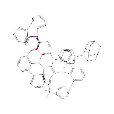 CC1(C)c2ccc(cc2)-c2cccc(-c3ccccc3)c2N2c3cc(N4C5CC6CC(C5)CC4C6)ccc3B3c4ccc(-n5c6ccccc6c6ccccc65)cc4N(c4c(-c5ccccc5)cccc4-c4ccccc4)c4cc1cc2c43